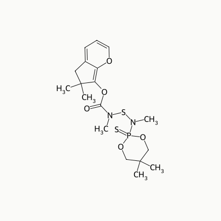 CN(SN(C)P1(=S)OCC(C)(C)CO1)C(=O)OC1=C2OC=CC=C2CC1(C)C